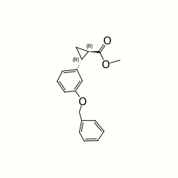 COC(=O)[C@@H]1C[C@H]1c1cccc(OCc2ccccc2)c1